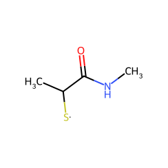 CNC(=O)C(C)[S]